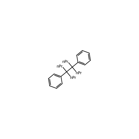 CCCC(CCC)(c1ccccc1)C(CCC)(CCC)c1ccccc1